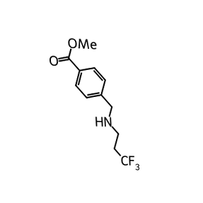 COC(=O)c1ccc(CNCCC(F)(F)F)cc1